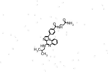 CC(C)CNc1nc2ccccc2n2c(-c3ccc(C(=O)NCCC(N)=O)cc3)cnc12